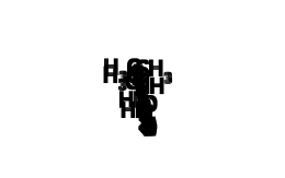 CC(C)(C)OC(=O)NCCNC(=O)N/N=C/c1ccccc1